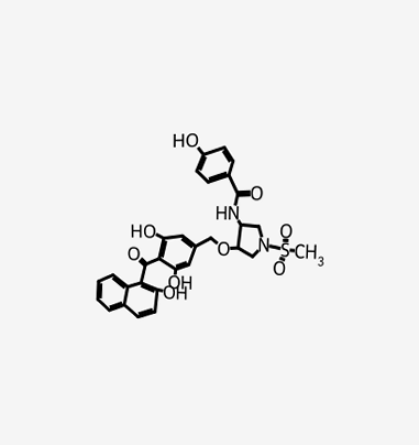 CS(=O)(=O)N1CC(NC(=O)c2ccc(O)cc2)C(OCc2cc(O)c(C(=O)c3c(O)ccc4ccccc34)c(O)c2)C1